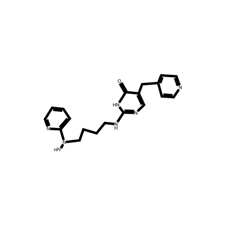 CCCN(CCCCNc1ncc(Cc2ccncc2)c(=O)[nH]1)c1ccccn1